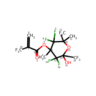 C=C(C(=O)OC1(C)C(F)(F)C(C)(C(F)(F)F)OC(O)(C(F)(F)F)C1(F)F)C(F)(F)F